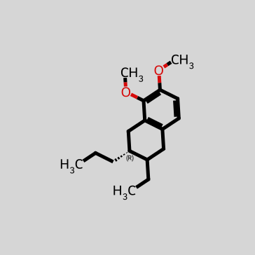 CCC[C@@H]1Cc2c(ccc(OC)c2OC)CC1CC